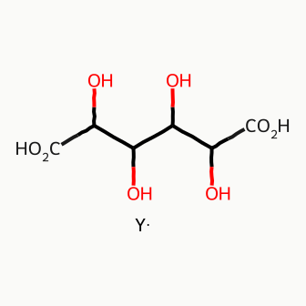 O=C(O)C(O)C(O)C(O)C(O)C(=O)O.[Y]